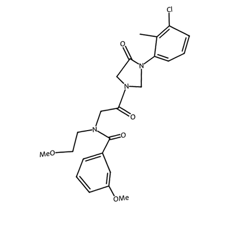 COCCN(CC(=O)N1CC(=O)N(c2cccc(Cl)c2C)C1)C(=O)c1cccc(OC)c1